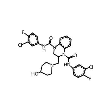 O=C(Nc1ccc(F)c(Cl)c1)N1CC(CN2CCC(O)CC2)N(C(=O)Nc2ccc(F)c(Cl)c2)c2ccccc21